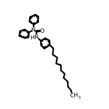 CCCCCCCCCCCCc1ccc(NC(=O)N(c2ccccc2)c2ccccc2)cc1